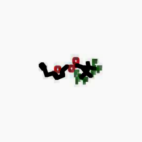 C#CCc1ccc(COC(=O)C2C(C)(C(F)(F)F)C2(C)C(F)(F)F)o1